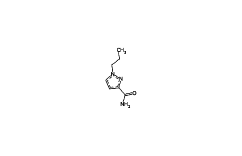 CCCn1ccc(C(N)=O)n1